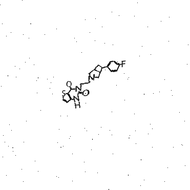 O=c1[nH]c2ccsc2c(=O)n1CCN1CC2CC(c3ccc(F)cc3)C2C1